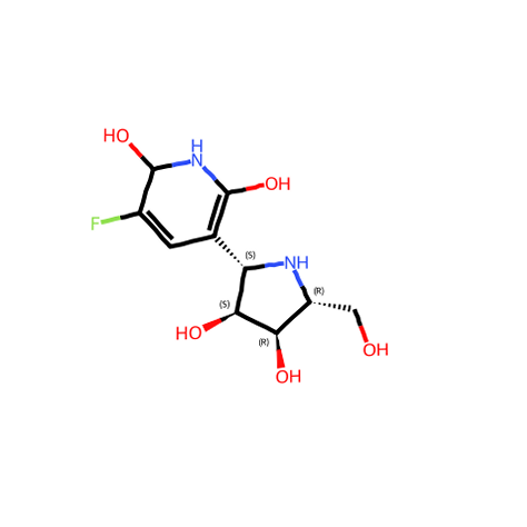 OC[C@H]1N[C@@H](C2=C(O)NC(O)C(F)=C2)[C@H](O)[C@@H]1O